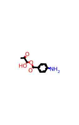 CC(=O)C(O)OC(=O)c1ccc(N)cc1